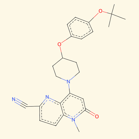 Cn1c(=O)cc(N2CCC(Oc3ccc(OC(C)(C)C)cc3)CC2)c2nc(C#N)ccc21